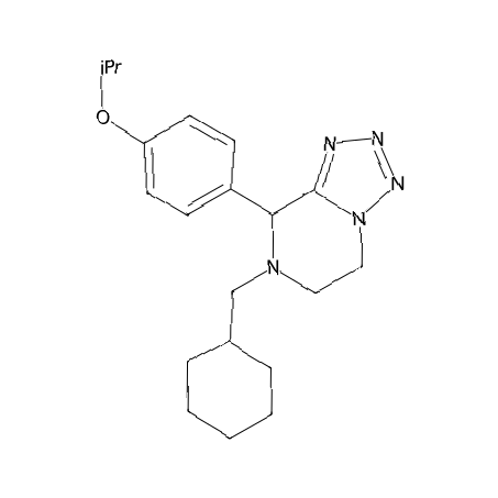 CC(C)Oc1ccc(C2c3nnnn3CCN2CC2CCCCC2)cc1